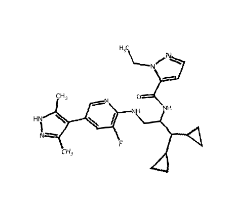 CCn1nccc1C(=O)NC(CNc1ncc(-c2c(C)n[nH]c2C)cc1F)C(C1CC1)C1CC1